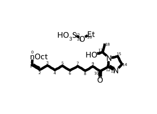 CCCCCCCC/C=C\CCCCCCCC(=O)C1=NCCN1C(C)O.CCOS(=O)(=O)O